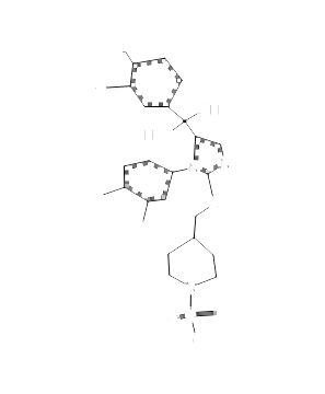 CC(C)(c1ccc(Cl)c(Cl)c1)c1cnc(SCC2CCN(S(C)(=O)=O)CC2)n1-c1ccc(F)c(Cl)c1